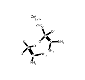 NS(N)=P([O-])([O-])[S-].NS(N)=P([O-])([O-])[S-].[Zn+2].[Zn+2].[Zn+2]